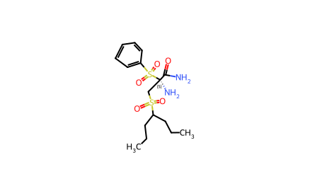 CCCC(CCC)S(=O)(=O)C[C@](N)(C(N)=O)S(=O)(=O)c1ccccc1